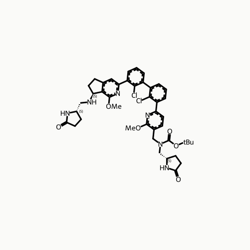 COc1nc(-c2cccc(-c3cccc(-c4cc5c(c(OC)n4)[C@@H](NC[C@@H]4CCC(=O)N4)CC5)c3Cl)c2Cl)ccc1CN(C[C@@H]1CCC(=O)N1)C(=O)OC(C)(C)C